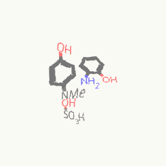 CNc1ccc(O)cc1.Nc1ccccc1O.O=S(=O)(O)O